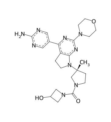 C[C@@]1(N2CCc3c(-c4cnc(N)nc4)nc(N4CCOCC4)nc32)CCN(C(=O)N2CC(O)C2)C1